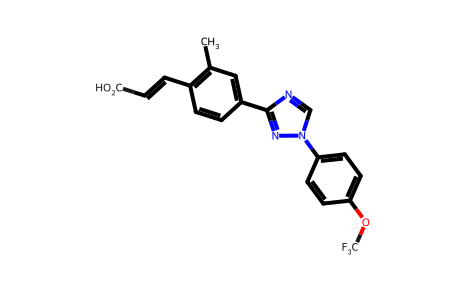 Cc1cc(-c2ncn(-c3ccc(OC(F)(F)F)cc3)n2)ccc1C=CC(=O)O